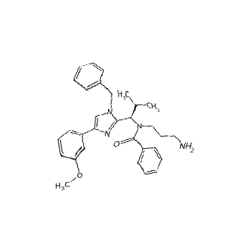 COc1cccc(-c2cn(Cc3ccccc3)c([C@@H](C(C)C)N(CCCN)C(=O)c3ccccc3)n2)c1